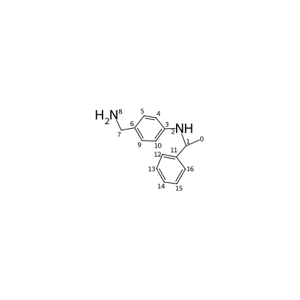 CC(Nc1ccc(CN)cc1)c1ccccc1